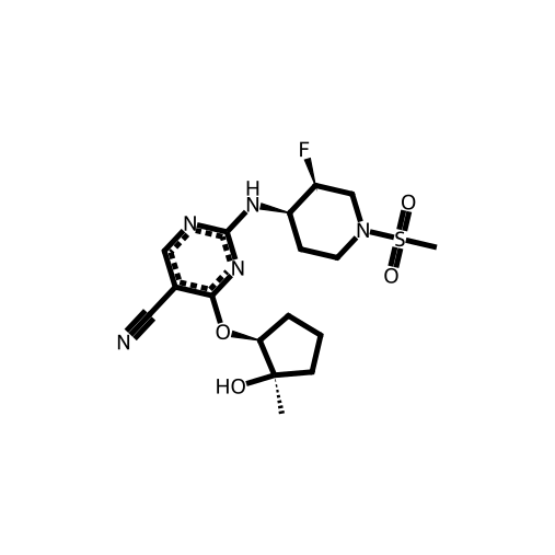 C[C@@]1(O)CCC[C@@H]1Oc1nc(N[C@@H]2CCN(S(C)(=O)=O)C[C@@H]2F)ncc1C#N